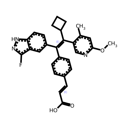 COc1cc(C)c(/C(=C(\c2ccc(/C=C/C(=O)O)cc2)c2ccc3[nH]nc(F)c3c2)C2CCC2)cn1